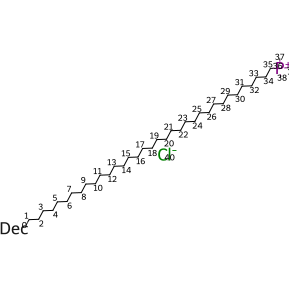 CCCCCCCCCCCCCCCCCCCCCCCCCCCCCCCCCCCCCCCCCCCCC[P+](C)(C)C.[Cl-]